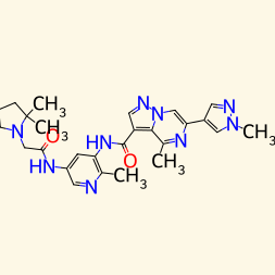 Cc1ncc(NC(=O)CN2CCCC2(C)C)cc1NC(=O)c1cnn2cc(-c3cnn(C)c3)nc(C)c12